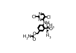 CP(C)(=O)c1cc(COC(N)=O)ccc1Nc1nc(Cl)ncc1Cl